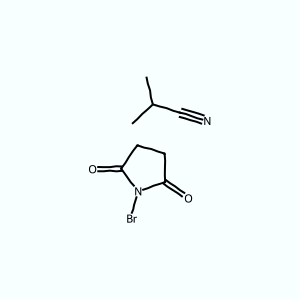 CC(C)C#N.O=C1CCC(=O)N1Br